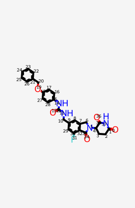 O=C1CCC(N2Cc3cc(CNC(=O)Nc4ccc(OCc5ccccc5)cc4)cc(F)c3C2=O)C(=O)N1